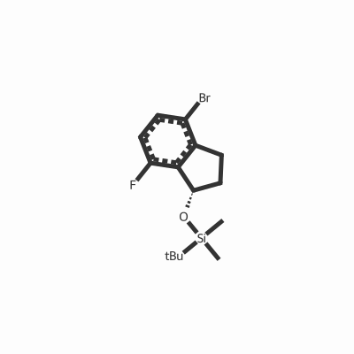 CC(C)(C)[Si](C)(C)O[C@H]1CCc2c(Br)ccc(F)c21